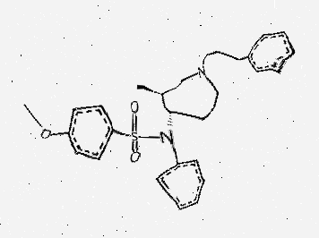 COc1ccc(S(=O)(=O)N(c2ccccc2)[C@H]2CCN(Cc3ccccc3)C[C@@H]2C)cc1